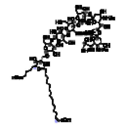 CCCCCCCC/C=C\CCCCCCCCCCCCCC(=O)N[C@@H](CO[C@@H]1OC(CO)[C@@H](O[C@@H]2OC(CO)[C@H](O[C@@H]3OC(CO)[C@H](O)[C@H](O[C@@H]4OC(CO)[C@H](O)[C@H](O[C@]5(C(=O)O)CC(O)[C@@H](NC(C)=O)C([C@H](O)[C@@H](CO)O[C@]6(C(=O)O)CC(O)[C@@H](NC(C)=O)C([C@H](O)[C@H](O)CO)O6)O5)C4O)C3NC(C)=O)[C@H](O)C2O)[C@H](O)C1O)[C@H](O)/C=C/CCCCCCCCCCCCC